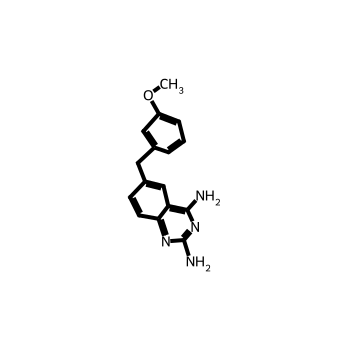 COc1cccc(Cc2ccc3nc(N)nc(N)c3c2)c1